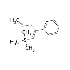 C=CCC(=C[Si](C)(C)C)c1ccccc1